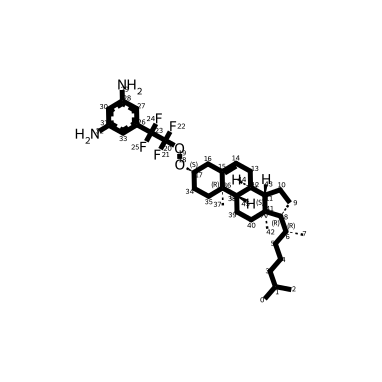 CC(C)CCC[C@@H](C)[C@H]1CC[C@H]2[C@@H]3CC=C4C[C@@H](OOC(F)(F)C(F)(F)c5cc(N)cc(N)c5)CC[C@]4(C)[C@H]3CC[C@]12C